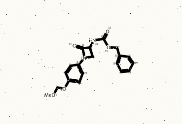 COCOc1ccc(N2CC(NC(=O)OCc3ccccc3)C2=O)cc1